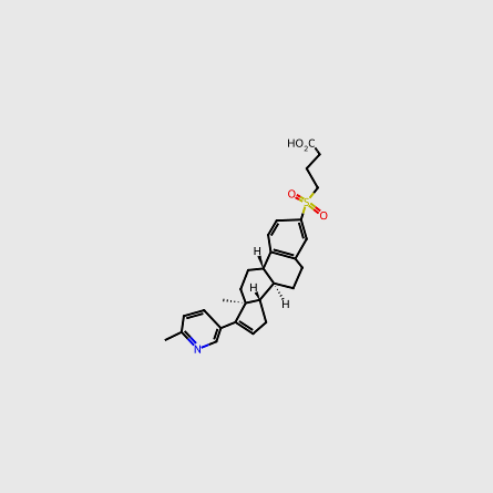 Cc1ccc(C2=CC[C@H]3[C@@H]4CCc5cc(S(=O)(=O)CCCC(=O)O)ccc5[C@H]4CC[C@]23C)cn1